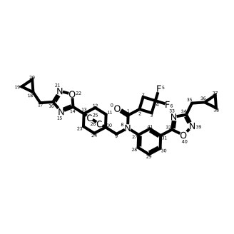 O=C(C1CC(F)(F)C1)N(CC12CCC(c3nc(CC4CC4)no3)(CC1)CC2)c1cccc(-c2nc(CC3CC3)no2)c1